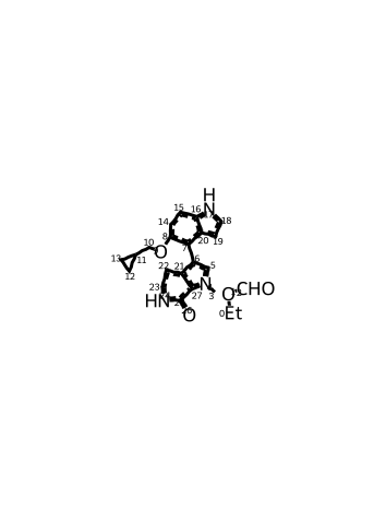 CCOC=O.Cn1cc(-c2c(OCC3CC3)ccc3[nH]ccc23)c2cc[nH]c(=O)c21